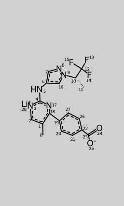 Cc1cnc(Nc2cnn([C@@H](C)C(F)(F)F)c2)nc1-c1ccc(C(=O)[O-])cc1.[Li+]